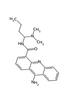 CCCC(NC(=O)c1cccc2c(N)c3ccccc3nc12)N(C)C